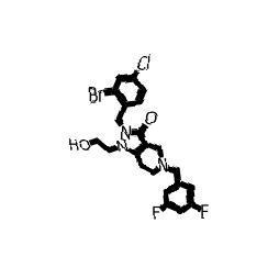 O=c1c2c(n(CCO)n1Cc1ccc(Cl)cc1Br)CCN(Cc1cc(F)cc(F)c1)C2